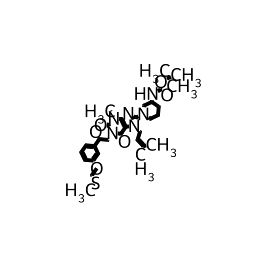 CSCOc1cccc(C(=O)Cn2c(=O)c3c(nc(N4CCCC(NC(=O)OC(C)(C)C)C4)n3CC=C(C)C)n(C)c2=O)c1